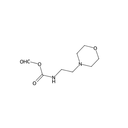 O=COC(=O)NCCN1CCOCC1